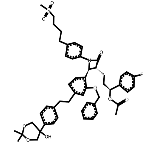 CC(=O)O[C@@H](CC[C@H]1C(=O)N(c2ccc(CCCCS(C)(=O)=O)cc2)[C@@H]1c1ccc(CCc2ccc(C3(O)COC(C)(C)OC3)cc2)cc1OCc1ccccc1)c1ccc(F)cc1